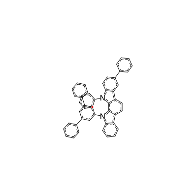 c1ccc(-c2cc(-c3ccccc3)cc(-n3c4ccccc4c4ccc5c6cc(-c7ccccc7)ccc6n(-c6ccccc6)c5c43)c2)cc1